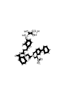 CCN(CC)CCN(Cc1ccc(-c2ccccc2)cc1)C(=O)Cn1c(CCc2cccc(F)c2F)nc(=O)c2ccccc21.O=C(O)C(O)C(O)C(=O)O